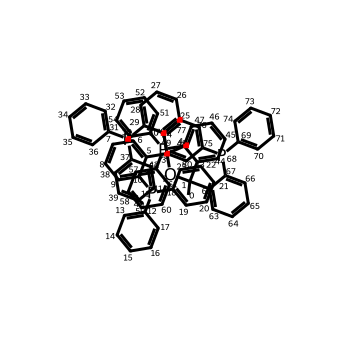 CC(OC(C)(c1ccccc1P(c1ccccc1)c1ccccc1)c1ccccc1P(c1ccccc1)c1ccccc1)(c1ccccc1P(c1ccccc1)c1ccccc1)c1ccccc1P(c1ccccc1)c1ccccc1